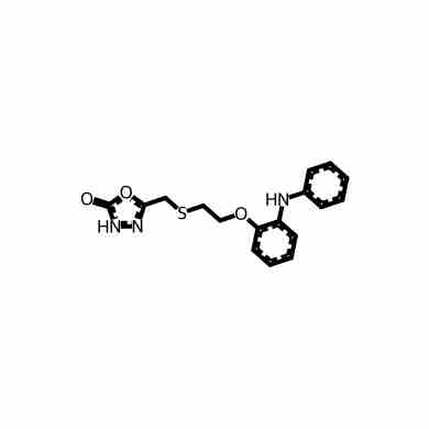 O=c1[nH]nc(CSCCOc2ccccc2Nc2ccccc2)o1